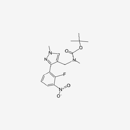 CN(Cc1cn(C)nc1-c1cccc([N+](=O)[O-])c1F)C(=O)OC(C)(C)C